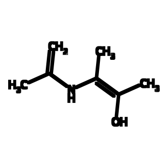 C=C(C)N/C(C)=C(/C)O